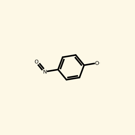 [O]c1ccc(N=O)cc1